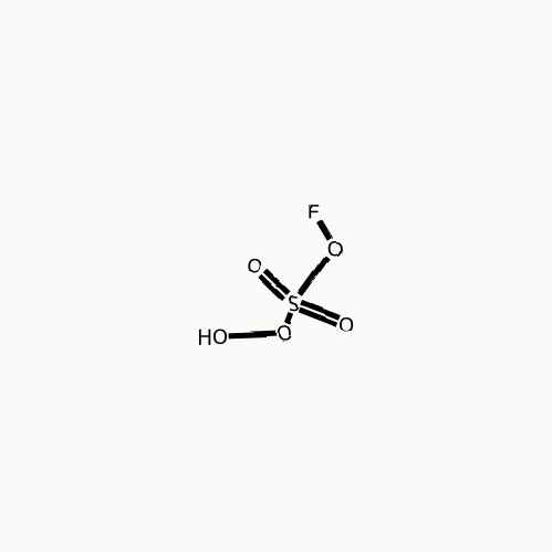 O=S(=O)(OO)OF